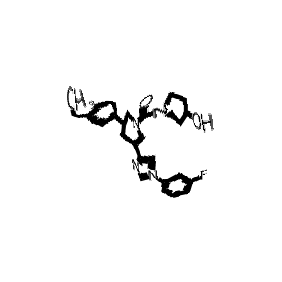 CCc1ccc(C2CC(c3cn(-c4cccc(F)c4)cn3)CN(C(=O)N3CCC(O)CC3)C2)cc1